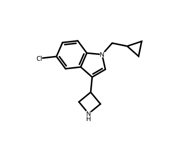 Clc1ccc2c(c1)c(C1CNC1)cn2CC1CC1